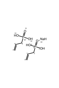 C=CCP(=O)(O)O.C=CCP(=O)(O)O.[NaH]